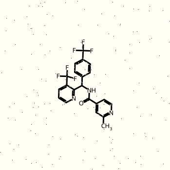 Cc1cc(C(=O)NC(c2ccc(C(F)(F)F)cc2)c2ncccc2C(F)(F)F)ccn1